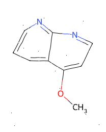 COc1ccnc2ncccc12